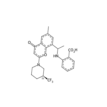 Cc1cc(C(C)Nc2ccccc2C(=O)O)c2oc(N3CCC[C@H](C(F)(F)F)C3)cc(=O)c2c1